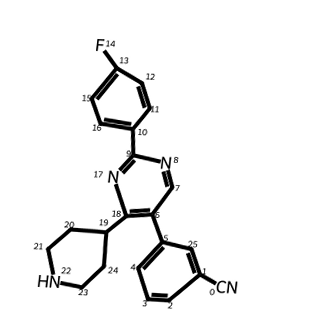 N#Cc1cccc(-c2cnc(-c3ccc(F)cc3)nc2C2CCNCC2)c1